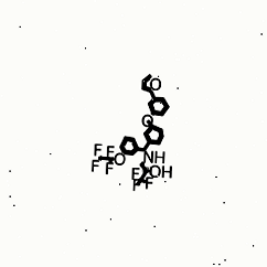 O[C@H](CNC(c1cccc(Oc2cccc(-c3ccco3)c2)c1)c1cccc(OC(F)(F)C(F)F)c1)C(F)(F)F